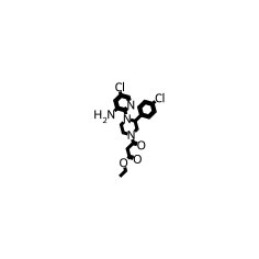 CCOC(=O)CC(=O)N1CCN(c2ncc(Cl)cc2N)C(c2ccc(Cl)cc2)C1